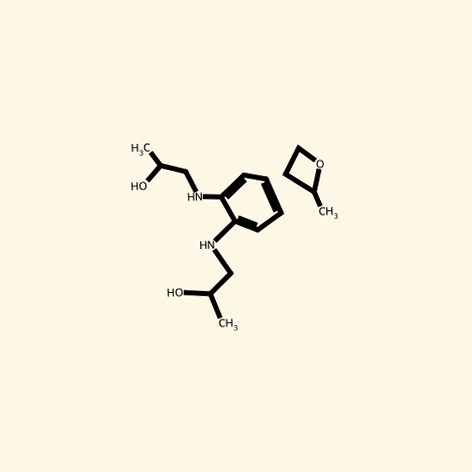 CC(O)CNc1ccccc1NCC(C)O.CC1CCO1